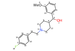 COc1cccc(C(O)C2CCN(CCc3ccc(F)cc3)CC2)c1